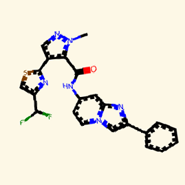 Cn1ncc(-c2nc(C(F)F)cs2)c1C(=O)Nc1ccn2cc(-c3ccccc3)nc2c1